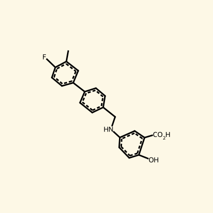 Cc1cc(-c2ccc(CNc3ccc(O)c(C(=O)O)c3)cc2)ccc1F